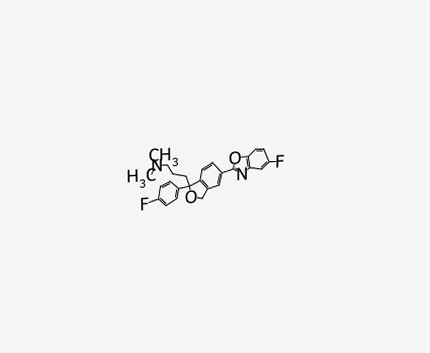 CN(C)CCCC1(c2ccc(F)cc2)OCc2cc(-c3nc4cc(F)ccc4o3)ccc21